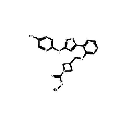 CC(C)(C)OC(=O)N1CC(COc2ccccc2-c2cc(Nc3cnc(C#N)cn3)no2)C1